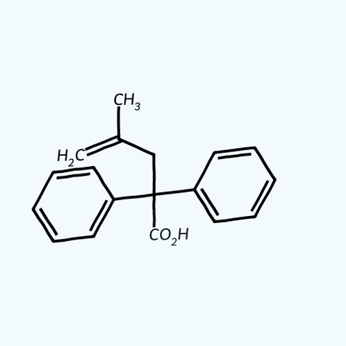 C=C(C)CC(C(=O)O)(c1ccccc1)c1ccccc1